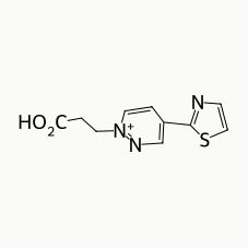 O=C(O)CC[n+]1ccc(-c2nccs2)cn1